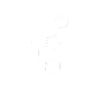 OB(O)C(Cc1ccccc1)n1cc(-c2ccsc2)nn1